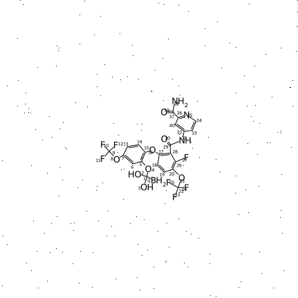 BC(O)(O)Oc1cc(OC(F)(F)F)ccc1Oc1ccc(OC(F)(F)F)c(F)c1C(=O)Nc1ccnc(C(N)=O)c1